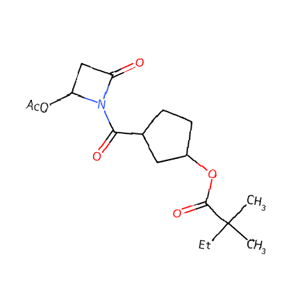 CCC(C)(C)C(=O)OC1CCC(C(=O)N2C(=O)CC2OC(C)=O)C1